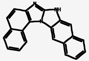 c1ccc2cc3c(cc2c1)[nH]c1nc2ccc4ccccc4c2n13